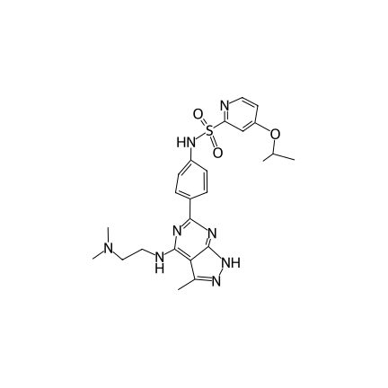 Cc1n[nH]c2nc(-c3ccc(NS(=O)(=O)c4cc(OC(C)C)ccn4)cc3)nc(NCCN(C)C)c12